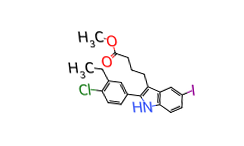 CCc1cc(-c2[nH]c3ccc(I)cc3c2CCCC(=O)OC)ccc1Cl